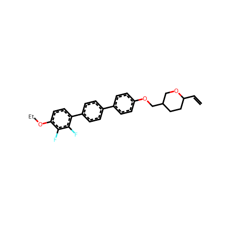 C=CC1CCC(COc2ccc(-c3ccc(-c4ccc(OCC)c(F)c4F)cc3)cc2)CO1